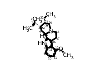 C=C(C)[C@H]1C[C@H]2c3[nH]c4cccc(OC)c4c3CCN2C[C@H]1CC